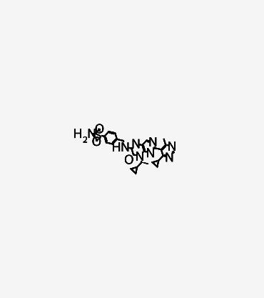 Cc1ncnc(C2CC2)c1-c1ncc2nc(NCc3ccc(S(N)(=O)=O)cc3)c(=O)n([C@@H](C)C3CC3)c2n1